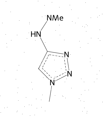 CNNc1cn(C)nn1